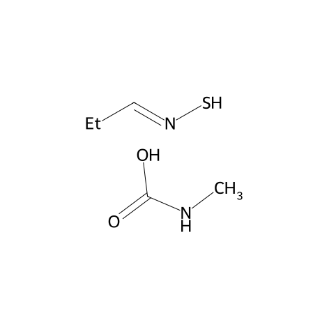 CCC=NS.CNC(=O)O